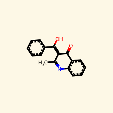 CC1=Nc2ccccc2C(=O)/C1=C(\O)c1ccccc1